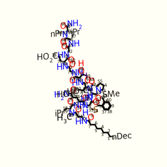 CCCCCCCCCCCCCCCCCC(=O)NCCC(=O)N(C)[C@@H](CC(C)C)C(=O)NC(CCC(N)=O)C(=O)N[C@@H](CSCc1ccccc1CSC)C(=O)N[C@@H](CC(=O)O)C(=O)N1CCC[C@H]1C(=O)N[C@@H](CCC(=O)O)C(=O)N[C@H](C(=O)NCC(=O)N[C@@H](CCC(=O)O)C(=O)NCC(=O)N[C@@H](CC(C)C)C(=O)N(CCC)CC(N)=O)[C@H](O)I